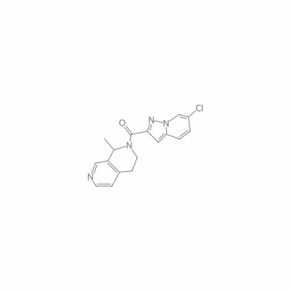 CC1c2cnccc2CCN1C(=O)c1cc2ccc(Cl)cn2n1